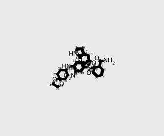 NC(=O)C1C=CC=CC1(Oc1cnc2[nH]ccc2c1)S(=O)(=O)c1ccc(NC2CCC3(CC2)OCCO3)c([N+](=O)[O-])c1